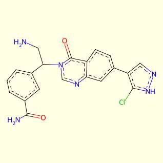 NCC(c1cccc(C(N)=O)c1)n1cnc2cc(-c3cn[nH]c3Cl)ccc2c1=O